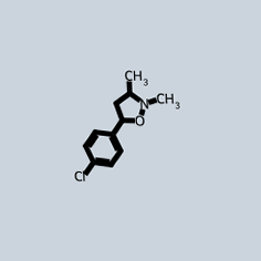 CC1CC(c2ccc(Cl)cc2)ON1C